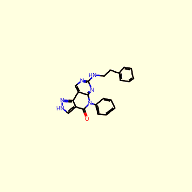 O=c1c2c[nH]nc2c2cnc(NCCc3ccccc3)nc2n1-c1ccccc1